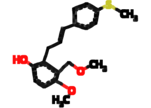 COCc1c(OC)ccc(O)c1CC=Cc1ccc(SC)cc1